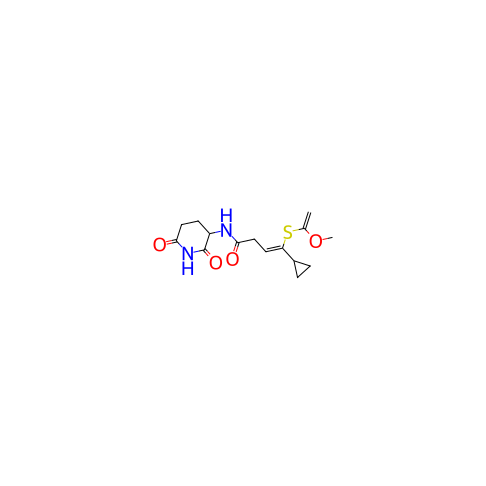 C=C(OC)S/C(=C\CC(=O)NC1CCC(=O)NC1=O)C1CC1